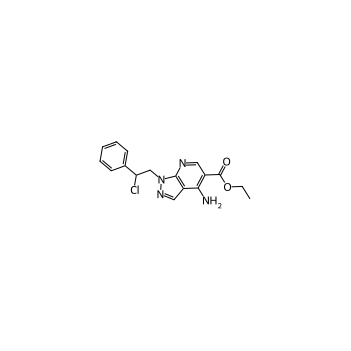 CCOC(=O)c1cnc2c(cnn2CC(Cl)c2ccccc2)c1N